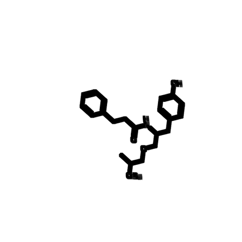 CC(C)COC(C)COCC(Cc1ccc(O)cc1)NC(=O)CCc1ccccc1